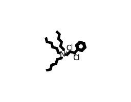 CCCCCC[N+](CCCCCC)(CCCCCC)CC(Cl)C(Cl)c1ccccc1